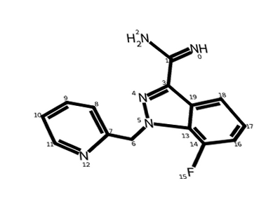 N=C(N)c1nn(Cc2ccccn2)c2c(F)cccc12